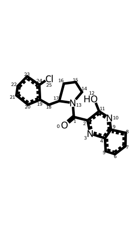 O=C(c1nc2ccccc2nc1O)N1CCCC1Cc1ccccc1Cl